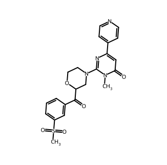 Cn1c(N2CCOC(C(=O)c3cccc(S(C)(=O)=O)c3)C2)nc(-c2ccncc2)cc1=O